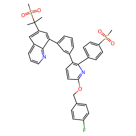 CC(C)(c1cc(-c2cccc(-c3ccc(OCc4ccc(F)cc4)nc3-c3ccc(S(C)(=O)=O)cc3)c2)c2ncccc2c1)S(C)(=O)=O